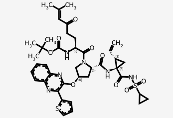 C=C[C@@H]1C[C@]1(NC(=O)[C@@H]1C[C@@H](Oc2nc3ccccc3nc2-c2cccs2)CN1C(=O)[C@H](CCC(=O)C=C(C)C)NC(=O)OC(C)(C)C)C(=O)NS(=O)(=O)C1CC1